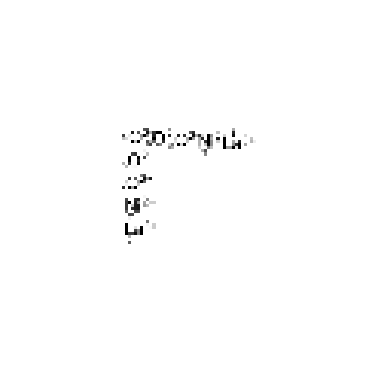 [La+3].[La+3].[Ni+2].[Ni+2].[O-2].[O-2].[O-2].[O-2].[O-2]